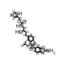 CC(C)CN(c1cccc(CCC(O)CNC(=O)OCc2cnc[nH]2)c1)S(=O)(=O)c1ccc2nc(N)oc2c1